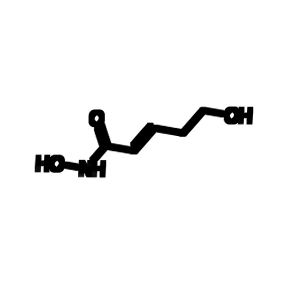 O=C(C=CCCO)NO